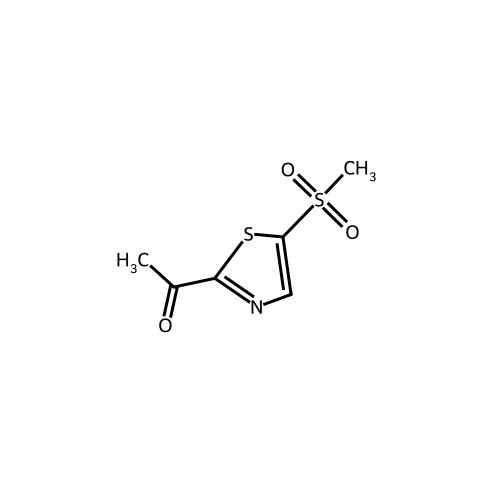 CC(=O)c1ncc(S(C)(=O)=O)s1